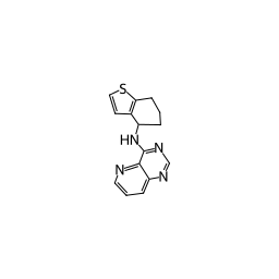 c1cnc2c(NC3CCCc4sccc43)ncnc2c1